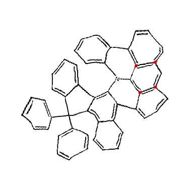 c1ccc(-c2ccccc2N(c2ccccc2)c2c3c(c4ccccc4c2-c2ccccc2)C(c2ccccc2)(c2ccccc2)c2ccccc2-3)cc1